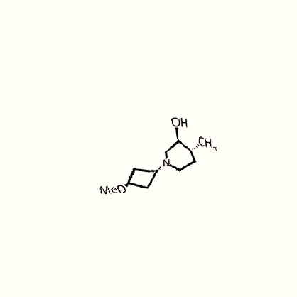 CO[C@H]1C[C@H](N2CC[C@@H](C)[C@H](O)C2)C1